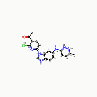 CC(=O)c1ccc(-n2cnc3ccc(Nc4ccc(C)nn4)cc32)nc1Cl